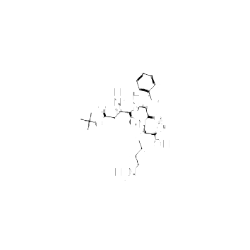 CC(C)(C)OC(=O)C[C@H](N)C(=O)N[C@H](Cc1ccccc1)C(=O)N[C@@H](CCCCN)C(=O)O